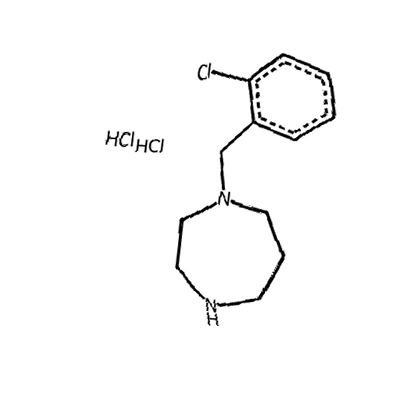 Cl.Cl.Clc1ccccc1CN1CCCNCC1